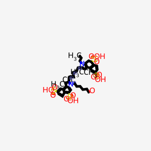 CCCN1C2=C(c3cc(S(=O)(=O)O)ccc3C(S(=O)(=O)O)C2)C(C)(C)\C1=C/C=C/C=C/C1=[N+](CCCCCC=O)c2cc(S(=O)(=O)O)c3ccc(S(=O)(=O)O)cc3c2C1(C)C